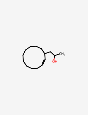 CC(O)CC1/C=C\CCCCCCCCC1